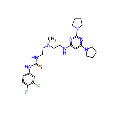 CN(CCNC(=S)Nc1ccc(F)c(F)c1)CCNc1cc(N2CCCC2)nc(N2CCCC2)n1